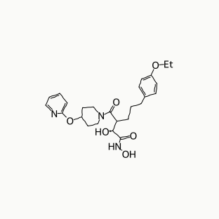 CCOc1ccc(CCCC(C(=O)N2CCC(Oc3ccccn3)CC2)[C@H](O)C(=O)NO)cc1